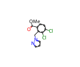 COC(=O)c1ccc(Cl)c(Cl)c1Cn1cccn1